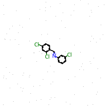 Clc1cccc(/N=C/c2ccc(Cl)cc2Cl)c1